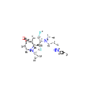 CNCC1CCN(c2c(F)cc3c(=O)ccn(C4CC4)c3c2F)C1